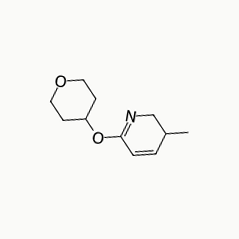 CC1C=CC(OC2CCOCC2)=NC1